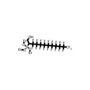 CCO[Si](OCC)(OCC)C(CO)C(F)(F)C(F)(F)C(F)(F)C(F)(F)C(F)(F)C(F)(F)C(F)(F)C(F)(F)C(F)(F)C(F)(F)F